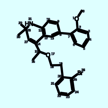 COc1ccccc1-c1ccc2c(c1)C(C(C)OCCc1ccccc1Br)=CC(C)(C)N2